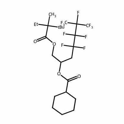 CCC(C)(C(=O)OCC(CC(F)(F)C(F)(F)C(F)(C(F)(F)F)C(F)(F)F)OC(=O)C1CCCCC1)C(C)(C)C